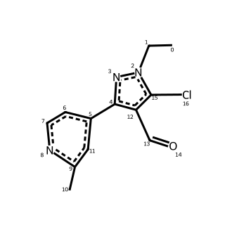 CCn1nc(-c2ccnc(C)c2)c(C=O)c1Cl